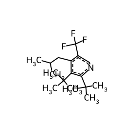 CC(C)Cc1c(C(F)(F)F)cnc(C(C)(C)C)c1C(C)(C)C